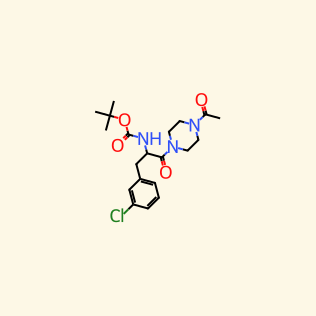 CC(=O)N1CCN(C(=O)C(Cc2cccc(Cl)c2)NC(=O)OC(C)(C)C)CC1